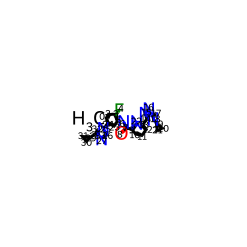 Cc1cc(F)c(NC(=O)c2cccc(-c3nncn3C3CC3)n2)cc1-n1cnc(C2CC2)c1